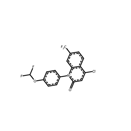 O=c1cc(Cl)c2ccc(C(F)(F)F)cc2n1-c1ccc(OC(F)F)cc1